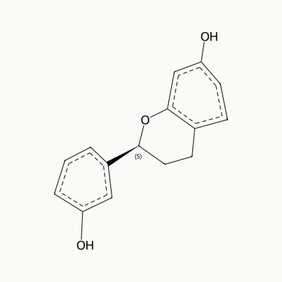 Oc1cccc([C@@H]2CCc3ccc(O)cc3O2)c1